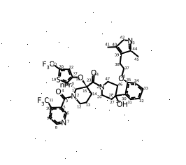 CCC[C@H]1N(C(=O)c2cnccc2C(F)(F)F)CCC[C@@]1(Oc1csc(C(F)(F)F)c1)C(=O)N1CCC(O)(c2ccccc2OCCC2=C(C)CN=C2C)CC1